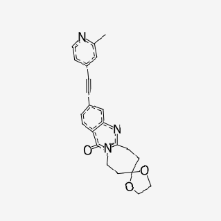 Cc1cc(C#Cc2ccc3c(=O)n4c(nc3c2)CCC2(CC4)OCCO2)ccn1